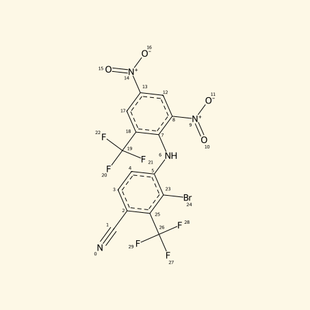 N#Cc1ccc(Nc2c([N+](=O)[O-])cc([N+](=O)[O-])cc2C(F)(F)F)c(Br)c1C(F)(F)F